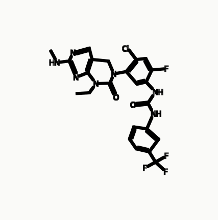 CCN1C(=O)N(c2cc(NC(=O)Nc3cccc(C(F)(F)F)c3)c(F)cc2Cl)Cc2cnc(NC)nc21